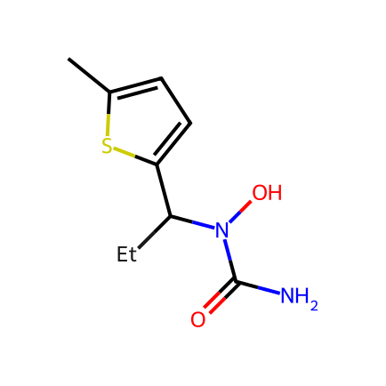 CCC(c1ccc(C)s1)N(O)C(N)=O